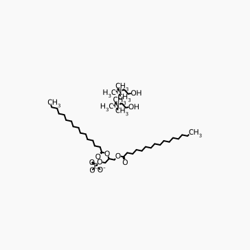 CCCCCCCCCCCCCCCC(=O)OCC(COP(=O)([O-])[O-])OC(=O)CCCCCCCCCCCCCCC.C[N+](C)(C)CCO.C[N+](C)(C)CCO